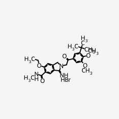 Br.CCOc1cc2c(cc1C(=O)NC)C(=N)N(CC(=O)c1cc(OC)c(OC)c(C(C)(C)C)c1)C2